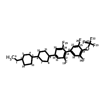 CCC1CCC(C2CCC(c3cc(F)c(-c4cc(F)c(OC(F)(F)F)c(F)c4)c(F)c3)CC2)CC1